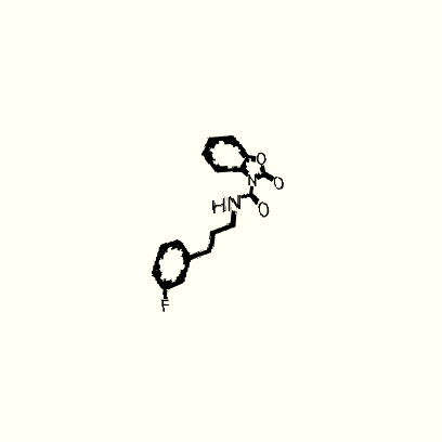 O=C(NCCCc1cccc(F)c1)n1c(=O)oc2ccccc21